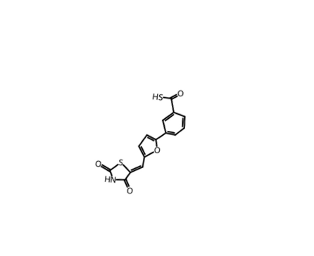 O=C1NC(=O)/C(=C/c2ccc(-c3cccc(C(=O)S)c3)o2)S1